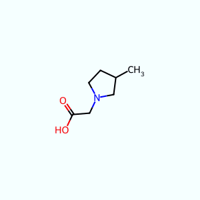 CC1CCN(CC(=O)O)C1